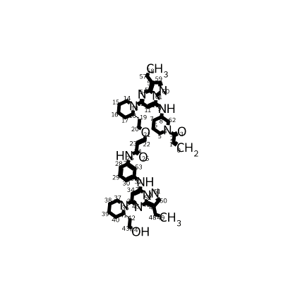 C=CC(=O)N1CCCC(Nc2cc(N3CCCC[C@H]3CCO/C=C/C(=O)Nc3cccc(Nc4cc(N5CCCC[C@H]5CCO)nc5c(CC)cnn45)c3)nc3c(CC)cnn23)C1